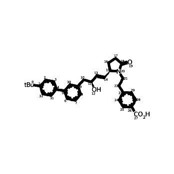 CC(C)(C)c1ccc(-c2cccc(C[C@H](O)/C=C/[C@H]3CCC(=O)N3CCc3ccc(C(=O)O)cc3)c2)cc1